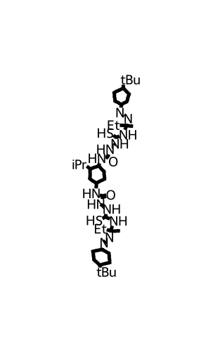 CCC(C)(N=NC1CCC(C(C)(C)C)CC1)NC(S)NNC(=O)NC1CCC(NC(=O)NNC(S)NC(C)(CC)N=NC2CCC(C(C)(C)C)CC2)C(C(C)C)C1